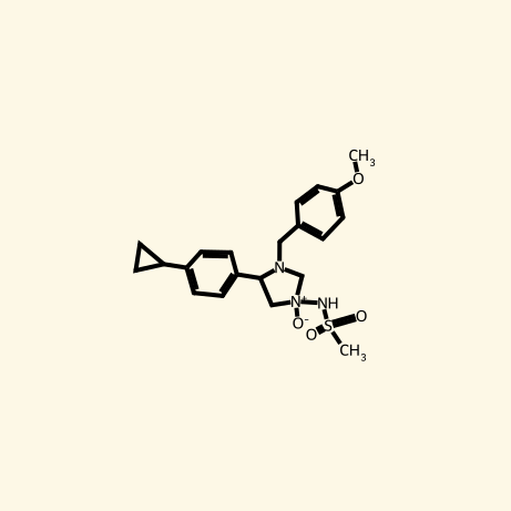 COc1ccc(CN2C[N+]([O-])(NS(C)(=O)=O)CC2c2ccc(C3CC3)cc2)cc1